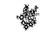 COc1ccc(CO[C@H]2[C@@H](OC(=O)[C@@H](NC(=O)OC(C)(C)C)C(C)C)[C@H](c3c[nH]c4c(N=[N+]=[N-])ncnc34)N(C(=O)OC(C)(C)C)[C@@H]2COC(c2ccccc2)(c2ccccc2)c2ccccc2)cc1